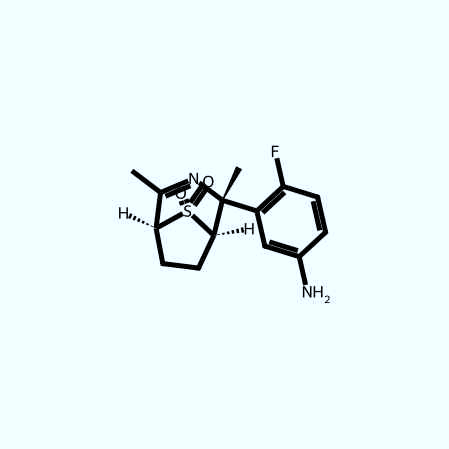 CC1=N[C@](C)(c2cc(N)ccc2F)[C@H]2CC[C@@H]1S2(=O)=O